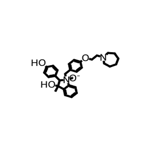 CC1(O)c2ccccc2[N+]([O-])(Cc2ccc(OCCN3CCCCCC3)cc2)C1c1ccc(O)cc1